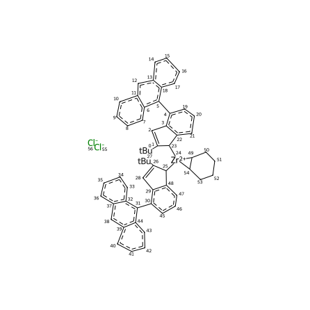 CC(C)(C)C1=Cc2c(-c3c4ccccc4cc4ccccc34)cccc2[CH]1[Zr+2]1([CH]2C(C(C)(C)C)=Cc3c(-c4c5ccccc5cc5ccccc45)cccc32)[CH]2CCCC[CH]21.[Cl-].[Cl-]